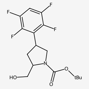 CC(C)(C)OC(=O)N1CC(c2c(F)c(F)cc(F)c2F)CC1CO